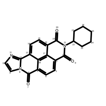 O=C1c2ccc3c(=O)n4ccnc4c4ccc(c2c34)C(=O)N1C1CCCCC1